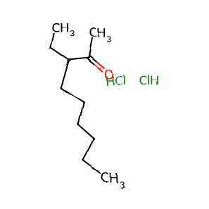 CCCCCCC(CC)C(C)=O.Cl.Cl